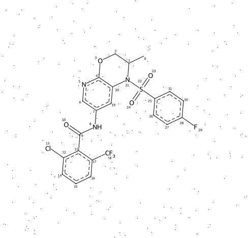 CC1COc2ncc(NC(=O)c3c(Cl)cccc3C(F)(F)F)cc2N1S(=O)(=O)c1ccc(F)cc1